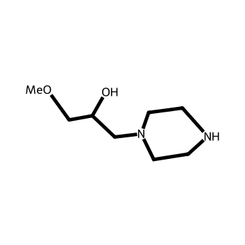 COCC(O)CN1CCNCC1